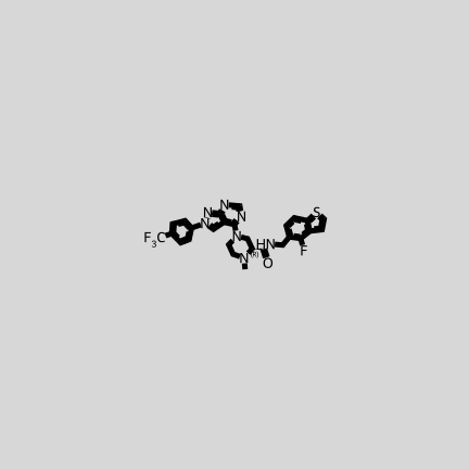 CN1CCN(c2ncnc3nn(-c4ccc(C(F)(F)F)cc4)cc23)C[C@@H]1C(=O)NCc1ccc2sccc2c1F